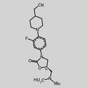 CC(C)(C)N(C[C@@H]1CN(c2ccc(N3CCC(CC#N)CC3)c(F)c2)C(=O)O1)C(=O)O